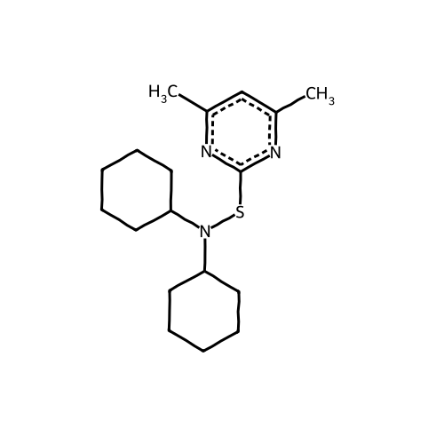 Cc1cc(C)nc(SN(C2CCCCC2)C2CCCCC2)n1